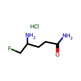 Cl.NC(=O)CCC(N)CF